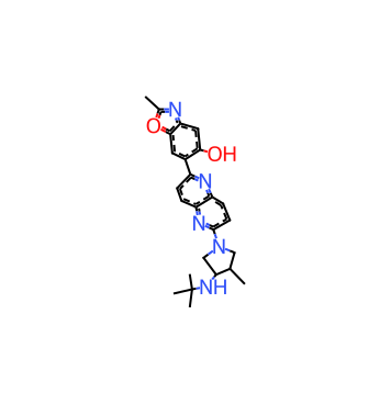 Cc1nc2cc(O)c(-c3ccc4nc(N5CC(C)C(NC(C)(C)C)C5)ccc4n3)cc2o1